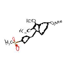 COc1ccc2c(c1)C(OC(C)=O)=C(C)C2=Cc1ccc(S(C)(=O)=O)cc1